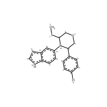 CSC1[CH]OCC(c2ccc(Cl)cc2)N1c1ccc2[nH]cnc2c1